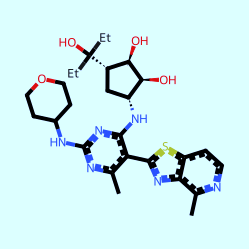 CCC(O)(CC)[C@H]1C[C@@H](Nc2nc(NC3CCOCC3)nc(C)c2-c2nc3c(C)nccc3s2)[C@H](O)[C@@H]1O